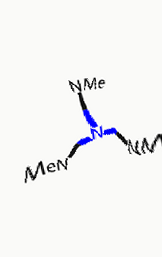 CNN(NC)NC